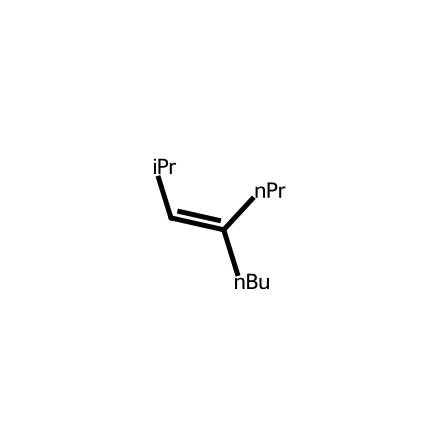 CCCCC(=CC(C)C)CCC